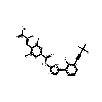 C/C(=C\c1c(Cl)cc(C(=O)Nc2nc(-c3cccc(C#CC(C)(C)C)c3F)cs2)cc1Cl)C(=O)O